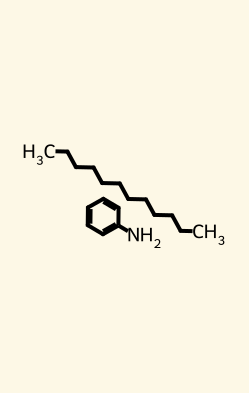 CCCCCCCCCCCC.Nc1ccccc1